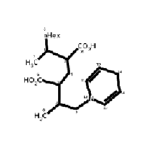 CCCCCCC(C)C(CC(C(=O)O)C(C)CN1C=CCC=C1)C(=O)O